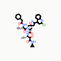 CCC[C@H](NC(=O)[C@@H]1C[C@]2(CC(c3cc(Cl)nc4ccccc34)=NO2)CN1C(=O)[C@@H](NC(=O)CC1CCCCC1)C(C)(C)C)C(=O)C(=O)NC1CC1